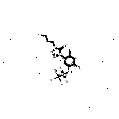 O=c1n(CCCF)nnn1-c1cc(NS(=O)(=O)C(F)(F)F)c(Cl)cc1F